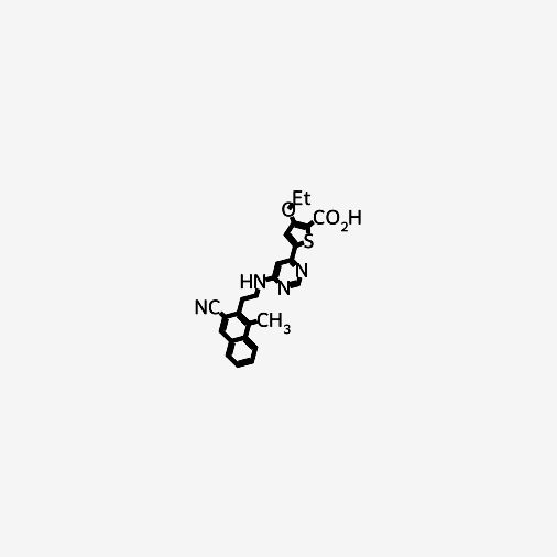 CCOc1cc(-c2cc(NCCc3c(C#N)cc4ccccc4c3C)ncn2)sc1C(=O)O